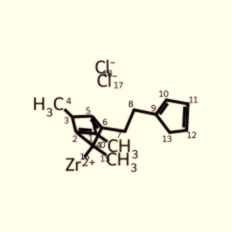 CC1=C2C(C)C1=C(CCC1=CC=CC1)[C]2(C)[Zr+2].[Cl-].[Cl-]